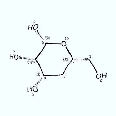 OC[C@@H]1C[C@H](O)[C@H](O)[C@H](O)O1